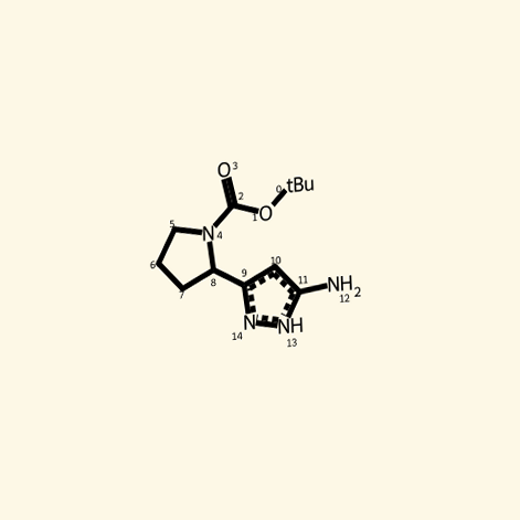 CC(C)(C)OC(=O)N1CCCC1c1cc(N)[nH]n1